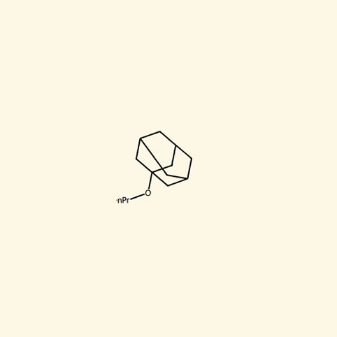 CC[CH]OC12CC3CC(CC(C3)C1)C2